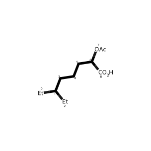 CCC(CC)CCCC(OC(C)=O)C(=O)O